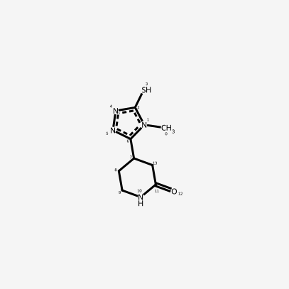 Cn1c(S)nnc1C1CCNC(=O)C1